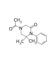 CC(=O)N1CC(=O)N(c2ccccc2)C(C)(C)C1